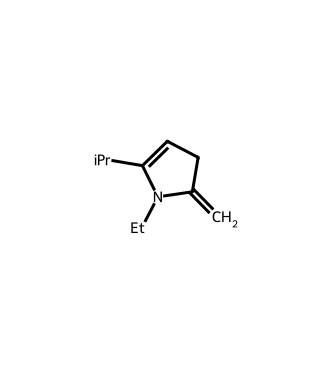 C=C1CC=C(C(C)C)N1CC